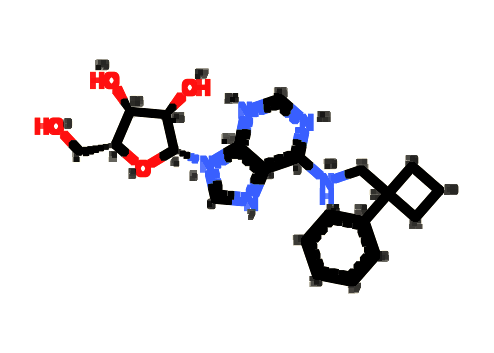 OC[C@H]1O[C@@H](n2cnc3c(NCC4(c5ccccc5)CCC4)ncnc32)[C@H](O)[C@@H]1O